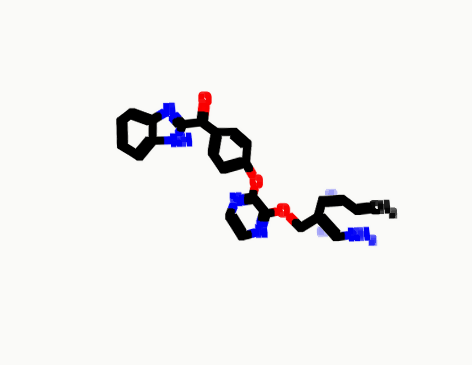 C=C/C=C\C(=C/N)COc1nccnc1Oc1ccc(C(=O)c2nc3ccccc3[nH]2)cc1